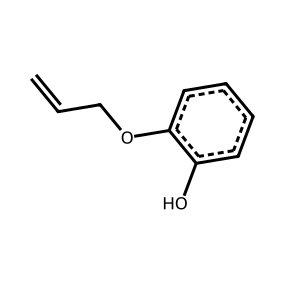 C=CCOc1ccccc1O